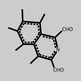 Cc1c(C)c(C)c2c(C)c(C=O)nc(C=O)c2c1C